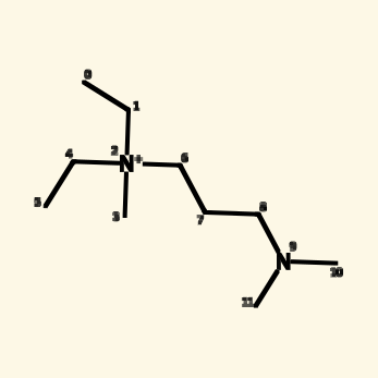 CC[N+](C)(CC)CCCN(C)C